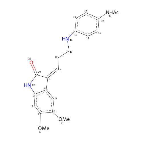 COc1cc2c(cc1OC)C(=CCCNc1ccc(NC(C)=O)cc1)C(=O)N2